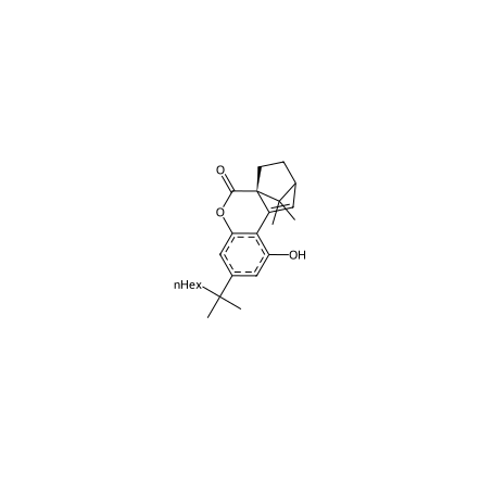 CCCCCCC(C)(C)c1cc(O)c2c(c1)OC(=O)[C@@]13CCC(C=C21)C3(C)C